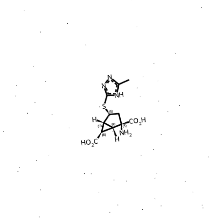 Cc1nnc(S[C@H]2C[C@@](N)(C(=O)O)[C@@H]3[C@@H](C(=O)O)[C@@H]32)[nH]1